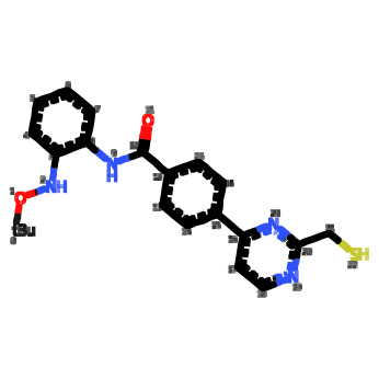 CC(C)(C)ONc1ccccc1NC(=O)c1ccc(-c2ccnc(CS)n2)cc1